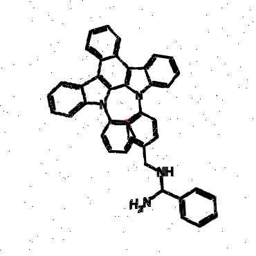 NC(NCc1ccc(-n2c3ccccc3c3c4ccccc4c4c5ccccc5n(-c5ccccc5)c4c32)cc1)c1ccccc1